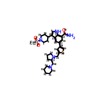 CCS(=O)(=O)N1CCC(c2c[nH]c3c(C(N)=O)cc(-c4csc(CN5CCCC5CN5CCCCC5)c4)cc23)CC1